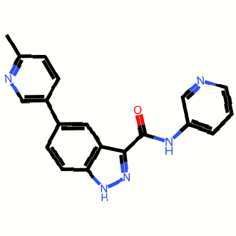 Cc1ccc(-c2ccc3[nH]nc(C(=O)Nc4cccnc4)c3c2)cn1